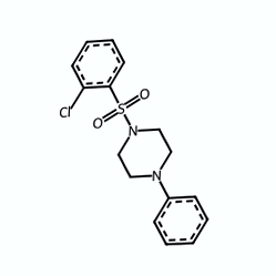 O=S(=O)(c1ccccc1Cl)N1CCN(c2ccccc2)CC1